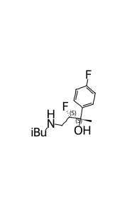 CCC(C)NC[C@H](F)[C@@](C)(O)c1ccc(F)cc1